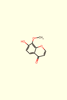 COc1c(O)ccc2c(=O)ccoc12